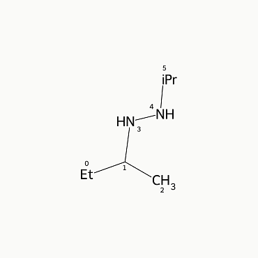 CCC(C)NNC(C)C